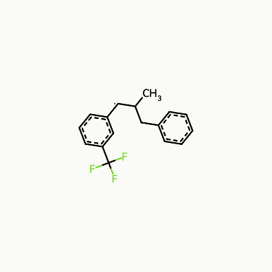 CC([CH]c1cccc(C(F)(F)F)c1)Cc1ccccc1